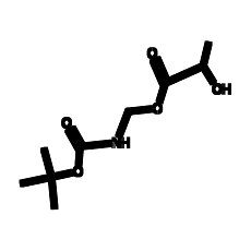 CC(O)C(=O)OCNC(=O)OC(C)(C)C